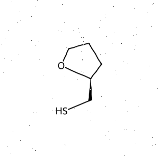 SC[C@@H]1CCCO1